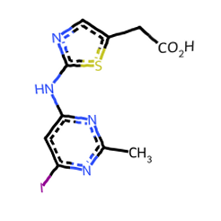 Cc1nc(I)cc(Nc2ncc(CC(=O)O)s2)n1